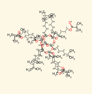 C=C(C)C(=O)OCCC[Si](C)(C)O[Si]1(CCCCCC(C)C)O[Si]2(CCCCCC(C)C)O[Si](CCCCCC(C)C)(O[Si](C)(C)CCCOC(=O)C(=C)C)O[Si]3(CCCCCC(C)C)O[Si](CCCCCC(C)C)(O[Si](C)(C)CCCOC(=O)C(=C)C)O[Si](CCCCCC(C)C)(O1)O[Si](CCCCCC(C)C)(O2)O3